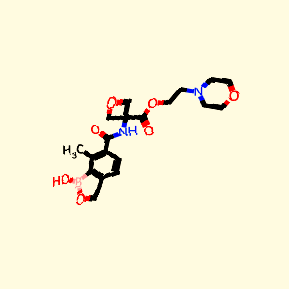 Cc1c(C(=O)NC2(C(=O)OCCN3CCOCC3)COC2)ccc2c1B(O)OC2